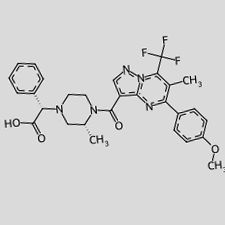 COc1ccc(-c2nc3c(C(=O)N4CCN([C@H](C(=O)O)c5ccccc5)C[C@H]4C)cnn3c(C(F)(F)F)c2C)cc1